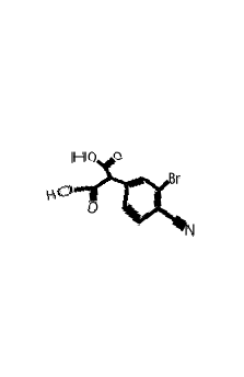 N#Cc1ccc(C(C(=O)O)C(=O)O)cc1Br